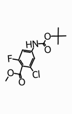 COC(=O)c1c(F)cc(NC(=O)OC(C)(C)C)cc1Cl